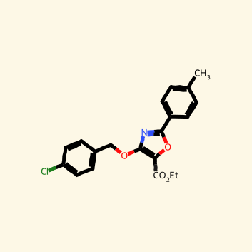 CCOC(=O)c1oc(-c2ccc(C)cc2)nc1OCc1ccc(Cl)cc1